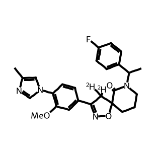 [2H]C1([2H])C(c2ccc(-n3cnc(C)c3)c(OC)c2)=NOC12CCCN(C(C)c1ccc(F)cc1)C2=O